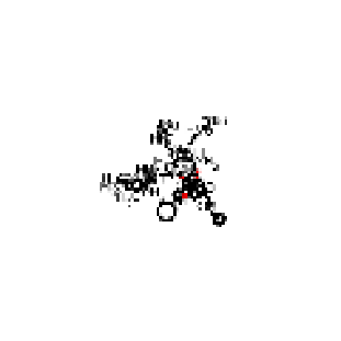 Cc1c(C)c(S(=O)(=O)NC(=N)NCCC[C@H](NC(=O)[C@H](CCCCNC(=O)OC(C)(C)C)NC(=O)[C@H](CCCCNC(=O)OC(C)(C)C)NC(=O)[C@@H](N)CCCCNC(=O)CCC(=O)OCc2ccccc2)C(=O)OC(c2ccccc2)(c2ccc(C3CCCCCCCCC3)cc2)c2ccccc2Cl)c(C)c2c1CC(C)(C)O2